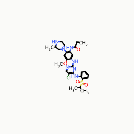 C=CC(=O)Nc1cc(Nc2ncc(Cl)c(Nc3ccccc3S(=O)(=O)C(C)C)n2)c(OC)cc1N1CCN[C@H](C)C1